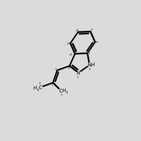 CC(C)=Cc1n[nH]c2ccccc12